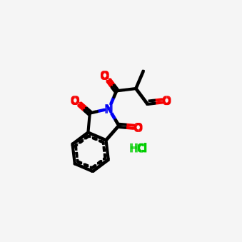 CC(C=O)C(=O)N1C(=O)c2ccccc2C1=O.Cl